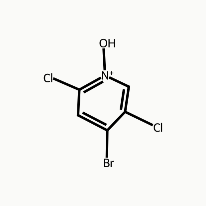 O[n+]1cc(Cl)c(Br)cc1Cl